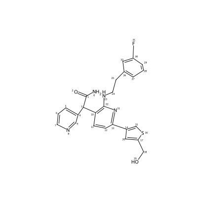 NC(=O)C(c1cccnc1)c1ccc(-c2csc(CO)c2)nc1NCCc1cccc(F)c1